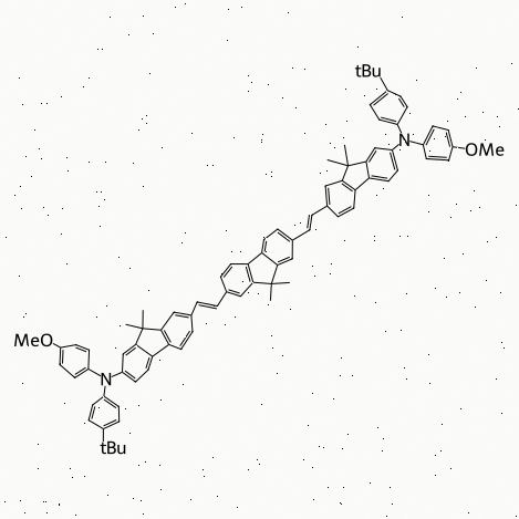 COc1ccc(N(c2ccc(C(C)(C)C)cc2)c2ccc3c(c2)C(C)(C)c2cc(/C=C/c4ccc5c(c4)C(C)(C)c4cc(/C=C/c6ccc7c(c6)C(C)(C)c6cc(N(c8ccc(OC)cc8)c8ccc(C(C)(C)C)cc8)ccc6-7)ccc4-5)ccc2-3)cc1